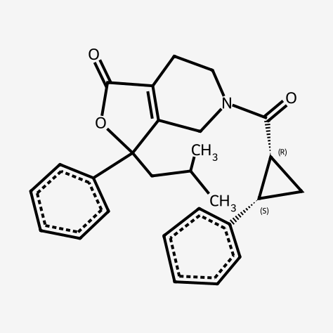 CC(C)CC1(c2ccccc2)OC(=O)C2=C1CN(C(=O)[C@@H]1C[C@@H]1c1ccccc1)CC2